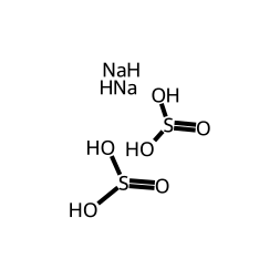 O=S(O)O.O=S(O)O.[NaH].[NaH]